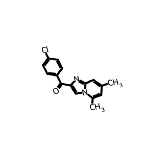 Cc1cc(C)n2cc(C(=O)c3ccc(Cl)cc3)nc2c1